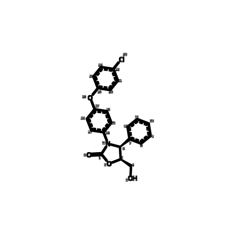 O=C1O[C@H](CO)[C@H](c2ccccc2)N1c1ccc(Oc2ccc(Cl)cc2)cc1